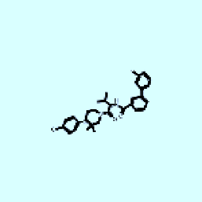 CC(C)[C@@H](NC(=O)c1cccc(-c2cccc(F)c2)c1)C(=O)N1CC[C@H](c2ccc(Cl)cc2)C(C)(C)C1